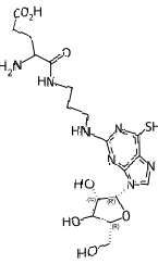 NC(CCC(=O)O)C(=O)NCCCNc1nc(S)c2ncn([C@@H]3O[C@H](CO)C(O)[C@@H]3O)c2n1